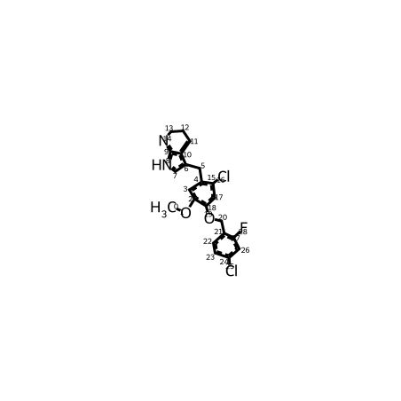 COc1cc(Cc2c[nH]c3c2=CCCN=3)c(Cl)cc1OCc1ccc(Cl)cc1F